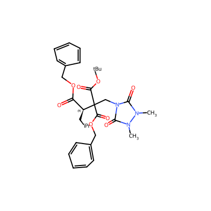 CC(C)C[C@@H](C(=O)OCc1ccccc1)C(Cn1c(=O)n(C)n(C)c1=O)(C(=O)OCc1ccccc1)C(=O)OC(C)(C)C